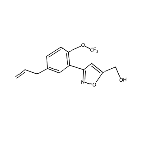 C=CCc1ccc(OC(F)(F)F)c(-c2cc(CO)on2)c1